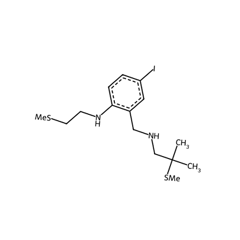 CSCCNc1ccc(I)cc1CNCC(C)(C)SC